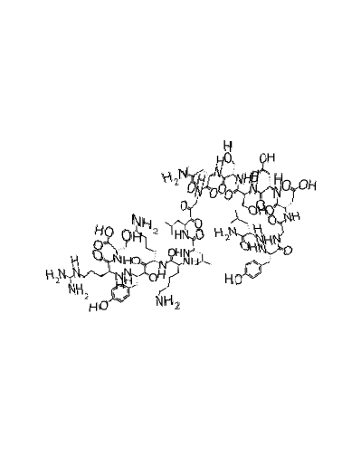 CC(C)C[C@H](NN[C@@H](Cc1ccc(O)cc1)C(=O)NCC(=O)N[C@@H](CC(=O)O)C(=O)N[C@@H](CC(=O)O)C(=O)N[C@@H](CO)C(=O)N[C@@H](CO)C(=O)N[C@@H](CC(N)=O)C(=O)NCC(=O)C(=O)[C@H](CC(C)C)NC(=O)[C@H](CC(C)C)NN[C@@H](CCCCN)C(=O)N[C@@H](CCCCN)C(=O)C(=O)[C@H](Cc1ccc(O)cc1)NN[C@@H](CCCNC(N)N)C(=O)N[C@@H](CO)C(=O)O)C(N)=O